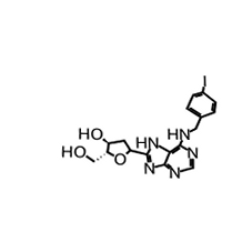 OC[C@H]1OC(c2nc3ncnc(NCc4ccc(I)cc4)c3[nH]2)C[C@@H]1O